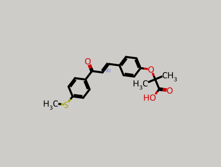 CSc1ccc(C(=O)/C=C/c2ccc(OC(C)(C)C(=O)O)cc2)cc1